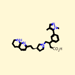 Cc1cnn(C)c1-c1cccc(C(CC(=O)O)CN2CC[C@@H](CCc3ccc4c(n3)NCCC4)C2)c1